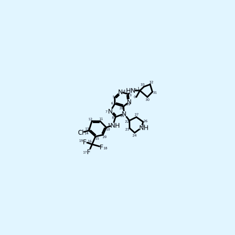 CC1(Nc2ncc3nc(Nc4ccc(Cl)c(C(F)(F)F)c4)n(C4CCNCC4)c3n2)CCCC1